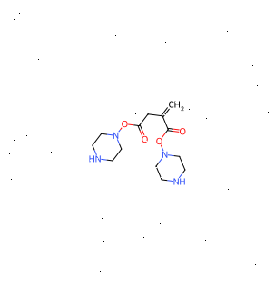 C=C(CC(=O)ON1CCNCC1)C(=O)ON1CCNCC1